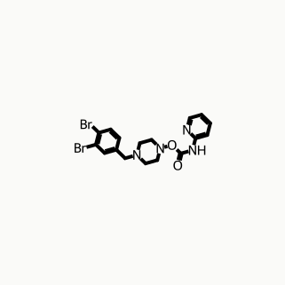 O=C(Nc1ccccn1)ON1CCN(Cc2ccc(Br)c(Br)c2)CC1